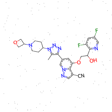 Cc1c(-c2cc(OCC(O)c3ncc(F)cc3F)c3c(C#N)cnn3c2)nnn1C1CCN(C2COC2)CC1